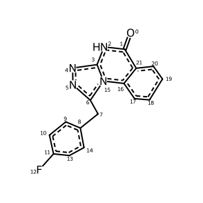 O=c1[nH]c2nnc(Cc3ccc(F)cc3)n2c2ccccc12